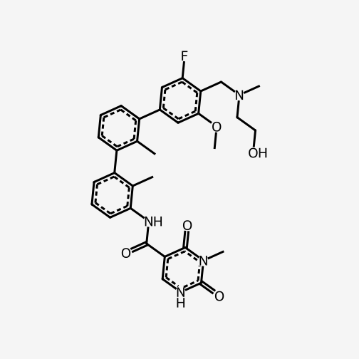 COc1cc(-c2cccc(-c3cccc(NC(=O)c4c[nH]c(=O)n(C)c4=O)c3C)c2C)cc(F)c1CN(C)CCO